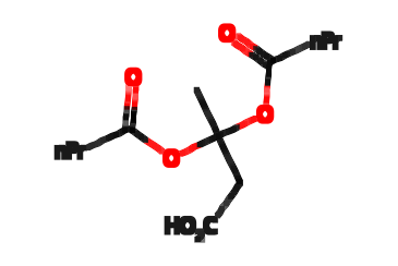 CCCC(=O)OC(C)(CC(=O)O)OC(=O)CCC